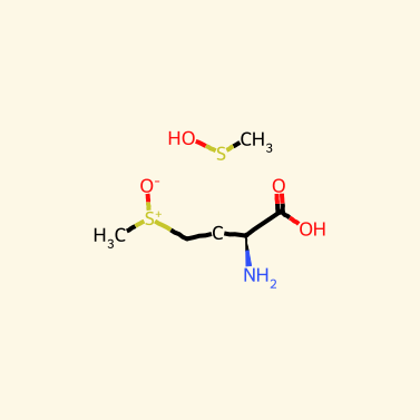 CSO.C[S+]([O-])CC[C@H](N)C(=O)O